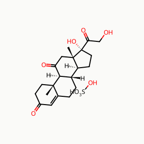 C[C@]12CCC(=O)C=C1CC[C@@H]1[C@@H]2C(=O)C[C@@]2(C)[C@H]1CC[C@]2(O)C(=O)CO.O=S(=O)(O)O